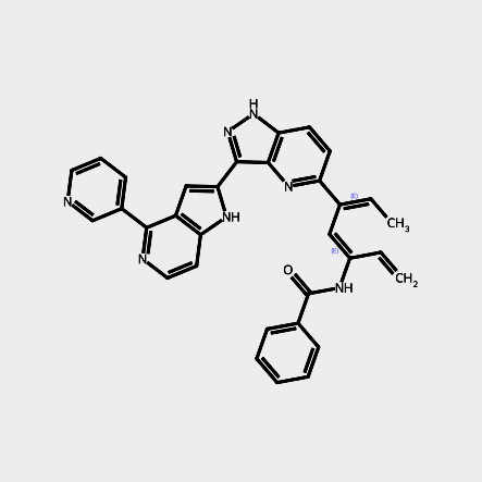 C=C/C(=C\C(=C/C)c1ccc2[nH]nc(-c3cc4c(-c5cccnc5)nccc4[nH]3)c2n1)NC(=O)c1ccccc1